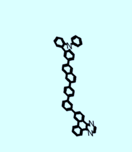 c1ccc(-n2c3ccccc3c3cc(-c4ccc5cc(-c6ccc(-c7cccc(-c8ccc9c(c8)c8ccccc8c8nccnc98)c7)cc6)ccc5c4)ccc32)cc1